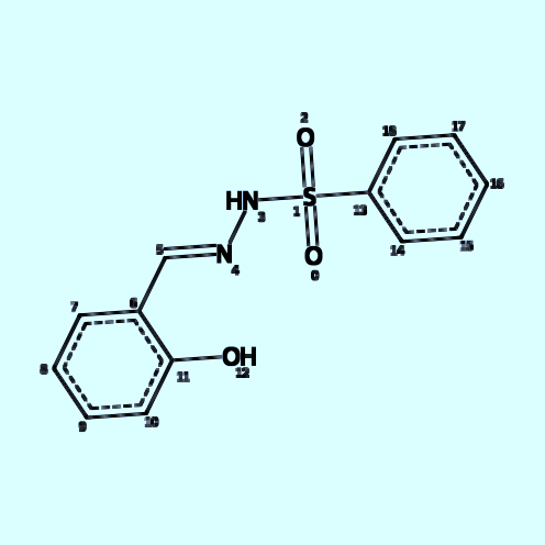 O=S(=O)(NN=Cc1ccccc1O)c1ccccc1